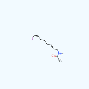 CCC(=O)N(C)C/C=C/CCC/C=C\I